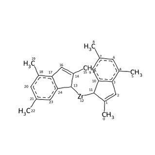 CC1=Cc2c(C)cc(C)cc2[CH]1[Zr][CH]1C(C)=Cc2c(C)cc(C)cc21